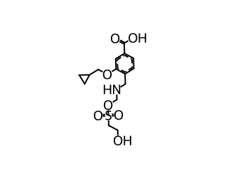 O=C(O)c1ccc(CNCOS(=O)(=O)CCO)c(OCC2CC2)c1